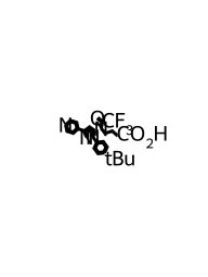 CC(C)(C)c1ccc(-n2nc(-c3ccncc3)cc2N(CCCC(=O)O)C(=O)C(F)(F)F)cc1